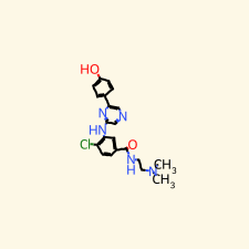 CN(C)CCNC(=O)c1ccc(Cl)c(Nc2cncc(-c3ccc(O)cc3)n2)c1